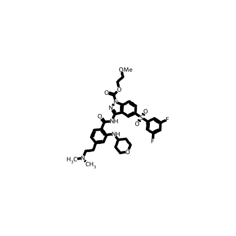 COCCOC(=O)n1nc(NC(=O)c2ccc(CCN(C)C)cc2NC2CCOCC2)c2cc(S(=O)(=O)c3cc(F)cc(F)c3)ccc21